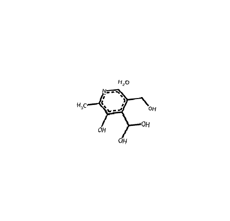 Cc1ncc(CO)c(C(O)O)c1O.O